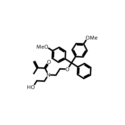 C=C(C)C(=O)N(CCO)CCOC(c1ccccc1)(c1ccc(OC)cc1)c1ccc(OC)cc1